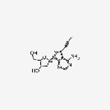 [CH2]C#Cc1nn([C@H]2CC(O)C(CO)O2)c2ncnc(N)c12